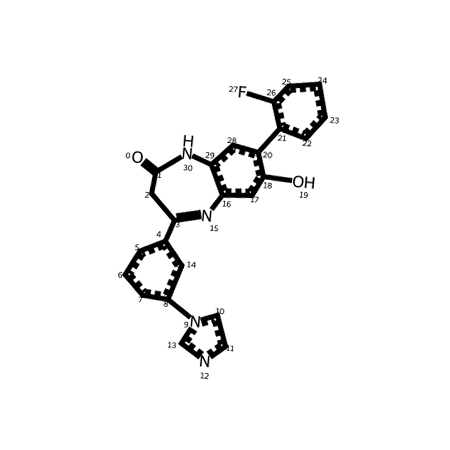 O=C1CC(c2cccc(-n3ccnc3)c2)=Nc2cc(O)c(-c3ccccc3F)cc2N1